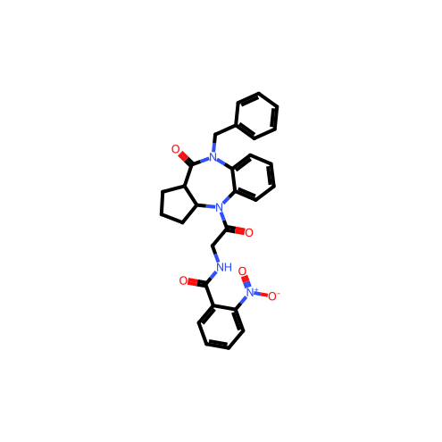 O=C(NCC(=O)N1c2ccccc2N(Cc2ccccc2)C(=O)C2CCCC21)c1ccccc1[N+](=O)[O-]